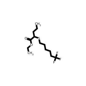 CCCC(SCCCCCC(F)(F)F)C(=O)OCC